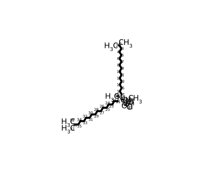 CC(C)CCCCCCCCCCCCCCC[N+](C)(C)CCCCCCCCCCCCCCCC(C)C.COS(=O)(=O)[O-]